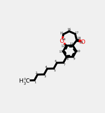 CCCCCCCCc1ccc2c(c1)OCCCC2=O